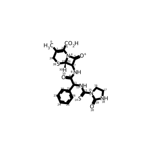 CC1=C(C(=O)O)N2C(=O)C(NC(=O)C(NC(=S)N3CCNC3=O)c3ccccc3)[C@@H]2SC1